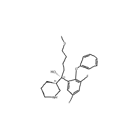 COCCCC[C@@](O)(c1cc(F)cc(F)c1Oc1ccccc1)[C@@H]1CCCNC1